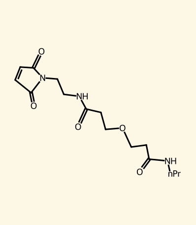 CCCNC(=O)CCOCCC(=O)NCCN1C(=O)C=CC1=O